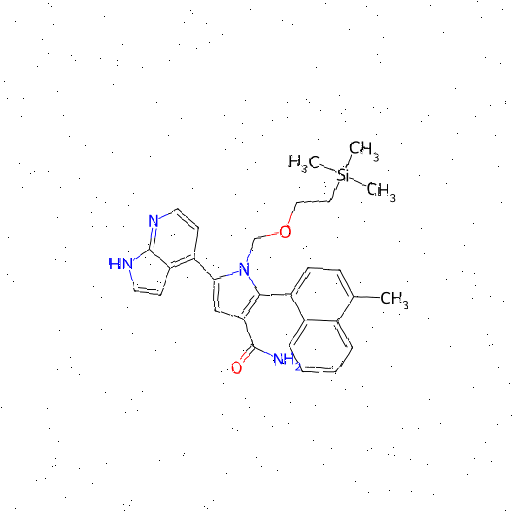 Cc1ccc(-c2c(C(N)=O)cc(-c3ccnc4[nH]ccc34)n2COCC[Si](C)(C)C)c2ccccc12